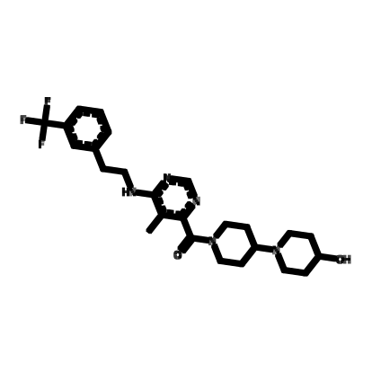 Cc1c(NCCc2cccc(C(F)(F)F)c2)ncnc1C(=O)N1CCC(N2CCC(O)CC2)CC1